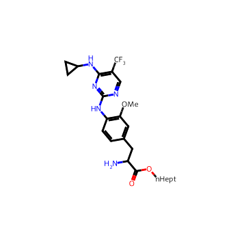 CCCCCCCOC(=O)C(N)Cc1ccc(Nc2ncc(C(F)(F)F)c(NC3CC3)n2)c(OC)c1